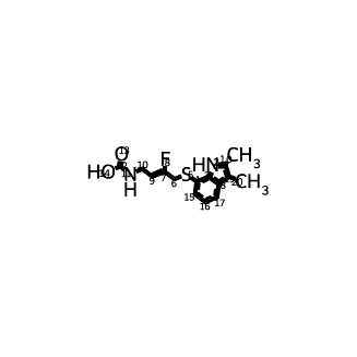 Cc1[nH]c2c(SCC(F)=CCNC(=O)O)cccc2c1C